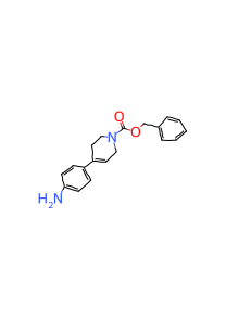 Nc1ccc(C2=CCN(C(=O)OCc3ccccc3)CC2)cc1